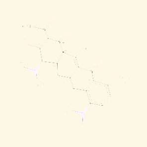 CCCCOc1ccc(N(C)C)c2c1C(=O)C1=C(OC(C)=O)C3(O)C(=O)C(C(=O)NC(C)=O)=C(O)C(N(C)C)C3CC1C2